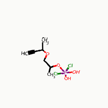 C#CC(C)OCC(C)OP(O)(O)(Cl)Cl